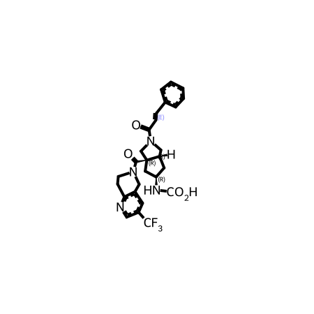 O=C(O)N[C@@H]1C[C@H]2CN(C(=O)/C=C/c3ccccc3)C[C@@]2(C(=O)N2CCc3ncc(C(F)(F)F)cc3C2)C1